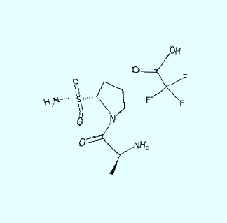 C[C@H](N)C(=O)N1CCC[C@H]1S(N)(=O)=O.O=C(O)C(F)(F)F